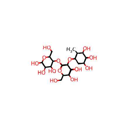 CC1C(OC2C(OC3C(CO)OC(O)C(O)C3O)OC(CO)C(O)C2O)CC(O)C(O)C1O